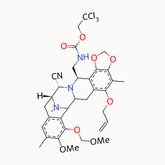 C=CCOc1c(C)c2c(c3c1CC1C4c5c(cc(C)c(OC)c5OCOC)C[C@H]([C@H](C#N)N1[C@H]3CNC(=O)OCC(Cl)(Cl)Cl)N4C)OCO2